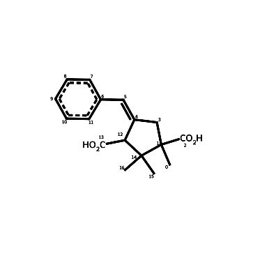 CC1(C(=O)O)CC(=Cc2ccccc2)C(C(=O)O)C1(C)C